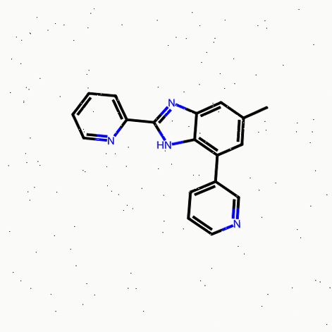 Cc1cc(-c2cccnc2)c2[nH]c(-c3ccccn3)nc2c1